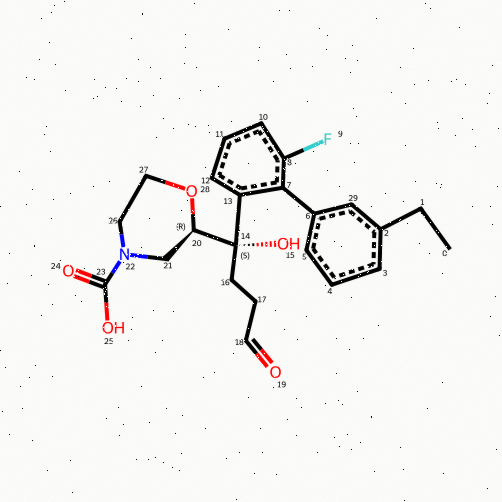 CCc1cccc(-c2c(F)cccc2[C@@](O)(CCC=O)[C@H]2CN(C(=O)O)CCO2)c1